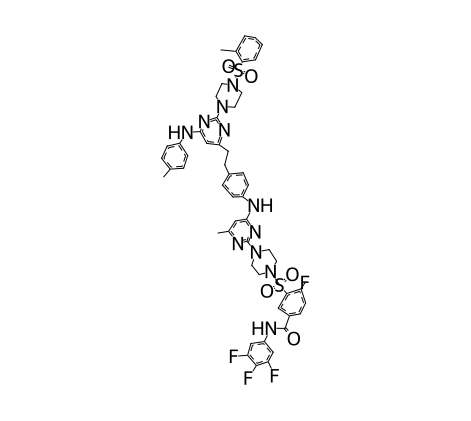 Cc1ccc(Nc2cc(CCc3ccc(Nc4cc(C)nc(N5CCN(S(=O)(=O)c6cc(C(=O)Nc7cc(F)c(F)c(F)c7)ccc6F)CC5)n4)cc3)nc(N3CCN(S(=O)(=O)c4ccccc4C)CC3)n2)cc1